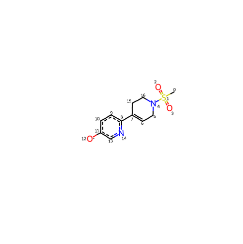 CS(=O)(=O)N1CC=C(c2ccc([O])cn2)CC1